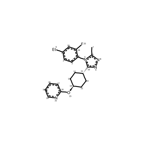 CCc1ccc(-n2c(C)nnc2[C@H]2CC[C@H](Oc3ccccn3)CC2)c(F)c1